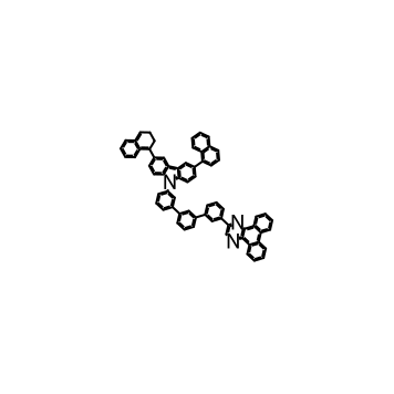 C1=c2ccccc2=C(c2ccc3c(c2)c2cc(-c4cccc5ccccc45)ccc2n3-c2cccc(-c3cccc(-c4cccc(-c5cnc6c7ccccc7c7ccccc7c6n5)c4)c3)c2)CC1